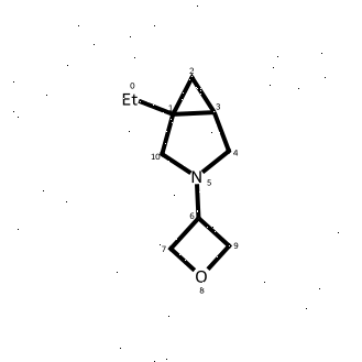 CCC12CC1CN(C1COC1)C2